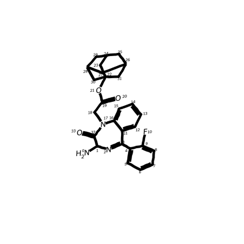 NC1N=C(c2ccccc2F)c2ccccc2N(CC(=O)OC23CC4CC(CC(C4)C2)C3)C1=O